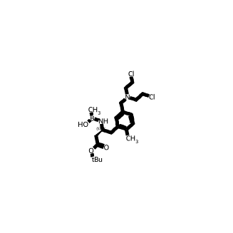 CB(O)N[C@H](CC(=O)OC(C)(C)C)Cc1cc(CN(CCCl)CCCl)ccc1C